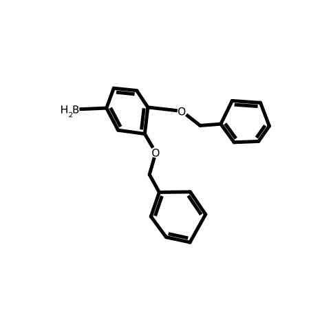 Bc1ccc(OCc2ccccc2)c(OCc2ccccc2)c1